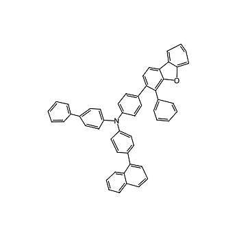 c1ccc(-c2ccc(N(c3ccc(-c4ccc5c(oc6ccccc65)c4-c4ccccc4)cc3)c3ccc(-c4cccc5ccccc45)cc3)cc2)cc1